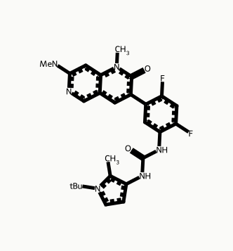 CNc1cc2c(cn1)cc(-c1cc(NC(=O)Nc3ccn(C(C)(C)C)c3C)c(F)cc1F)c(=O)n2C